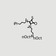 CCCCCCCCN(CCCCCCCC)CCCN(C)c1c(N(C)CCCC(C)C)c(=S)c1=O